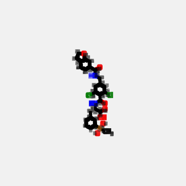 CS(=O)(=O)c1cccc(C[C@H](NC(=O)c2c(Cl)cc(CNC(=O)c3ccc4ccoc4c3)cc2Cl)C(=O)O)c1